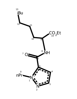 CCCn1nccc1C(=O)NC(CCCC(C)CC)C(=O)OCC